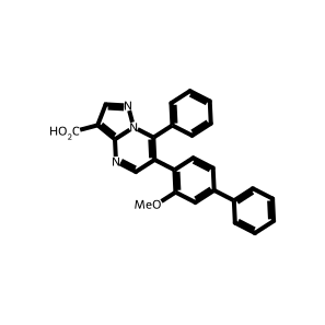 COc1cc(-c2ccccc2)ccc1-c1cnc2c(C(=O)O)cnn2c1-c1ccccc1